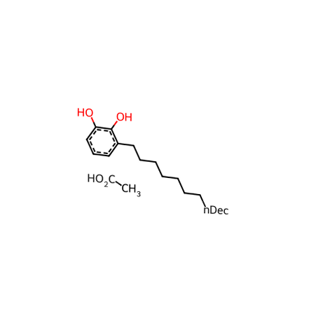 CC(=O)O.CCCCCCCCCCCCCCCCCc1cccc(O)c1O